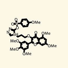 COc1ccc(S(=O)(=O)OC2=NN=C[SH]2CCCOc2c(-c3cc(OC)c(OC)c(OC)c3)oc3cc(OC)cc(OC)c3c2=O)cc1